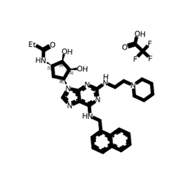 CCC(=O)N[C@H]1C[C@@H](n2cnc3c(NCc4cccc5ccccc45)nc(NCCN4CCCCC4)nc32)[C@H](O)[C@@H]1O.O=C(O)C(F)(F)F